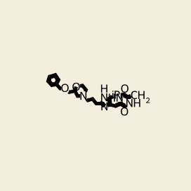 C=c1[nH]c(=O)c(=Cc2nc(CCCN3CCOC(COCc4ccccc4)C3)[nH]c2C(C)C)[nH]c1=O